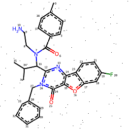 Cc1ccc(C(=O)N(CCN)C(c2nc3c(oc4cc(F)ccc43)c(=O)n2Cc2ccccc2)C(C)C)cc1